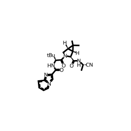 C[C@@H](C#N)NC(=O)[C@@H]1[C@@H]2[C@H](CN1C(=O)[C@@H](NC(=O)c1cn3ccccc3n1)C(C)(C)C)C2(C)C